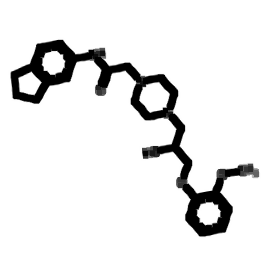 COc1ccccc1OCC(O)CN1CCN(CC(=O)Nc2ccc3c(c2)CCC3)CC1